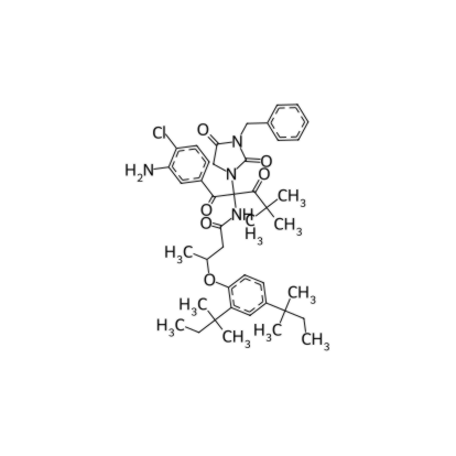 CCC(C)(C)c1ccc(OC(C)CC(=O)NC(C(=O)c2ccc(Cl)c(N)c2)(C(=O)C(C)(C)C)N2CC(=O)N(Cc3ccccc3)C2=O)c(C(C)(C)CC)c1